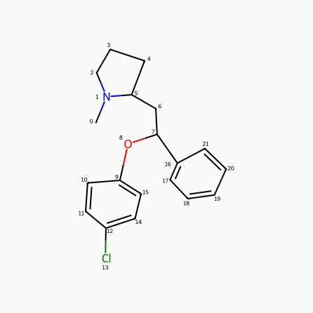 CN1CCCC1CC(Oc1ccc(Cl)cc1)c1ccccc1